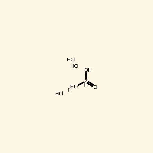 Cl.Cl.Cl.O=[PH](O)O.[P]